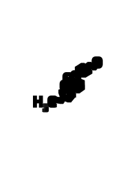 CCCC1CCN(c2cccc(Oc3ccc(CC=O)cc3)c2[N+](=O)[O-])CC1